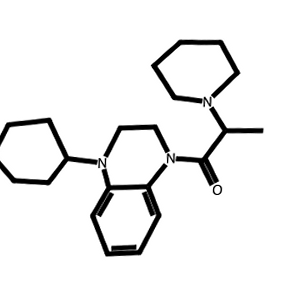 CC(C(=O)N1CCN(C2CCCCC2)c2ccccc21)N1CCCCC1